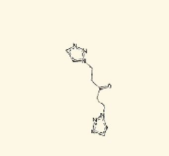 O=C(CCn1ccnn1)CCn1ccnn1